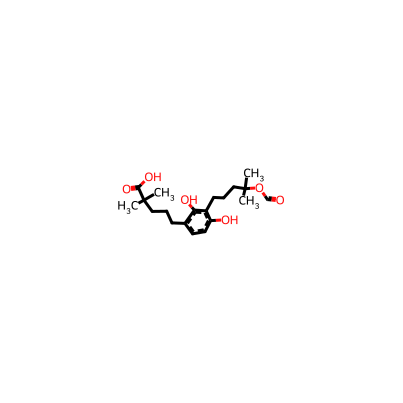 CC(C)(CCCc1c(O)ccc(CCCC(C)(C)C(=O)O)c1O)OC=O